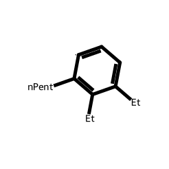 CCCCCc1[c]ccc(CC)c1CC